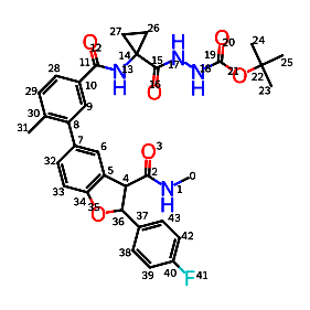 CNC(=O)C1c2cc(-c3cc(C(=O)NC4(C(=O)NNC(=O)OC(C)(C)C)CC4)ccc3C)ccc2OC1c1ccc(F)cc1